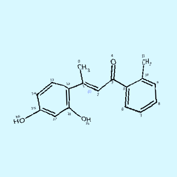 C/C(=C\C(=O)c1ccccc1C)c1ccc(O)cc1O